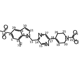 CS(=O)(=O)c1cc(F)c2c(ccn2Cc2cnc(C3=CCN(C(=O)O)CC3)cn2)c1